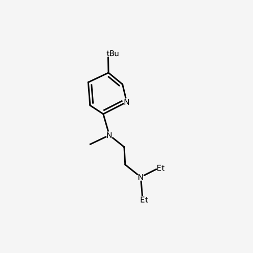 CCN(CC)CCN(C)c1ccc(C(C)(C)C)cn1